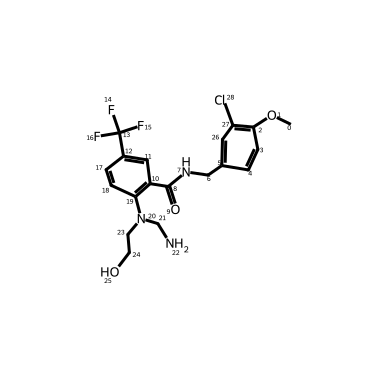 COc1ccc(CNC(=O)c2cc(C(F)(F)F)ccc2N(CN)CCO)cc1Cl